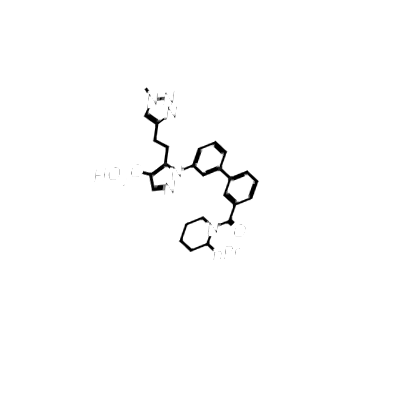 CCCC1CCCCN1C(=O)c1cccc(-c2cccc(-n3ncc(C(=O)O)c3CCc3cn(C)nn3)c2)c1